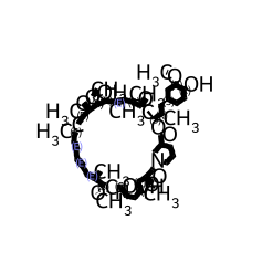 CO[C@H]1C[C@@H]2CC[C@@H](C)[C@@](O)(O2)C(=O)C(=O)N2CCCC(C2)C(=O)O[C@H]([C@H](C)C[C@@H]2CC[C@@H](O)[C@H](OC)C2)CC(=O)[C@H](C)/C=C(\C)[C@@H](O)[C@@H](OC)C(=O)[C@H](C)C[C@H](C)/C=C/C=C/C=C/1C